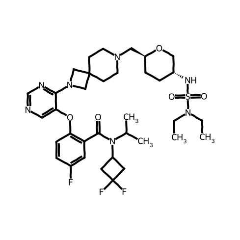 CCN(CC)S(=O)(=O)N[C@@H]1CC[C@@H](CN2CCC3(CC2)CN(c2ncncc2Oc2ccc(F)cc2C(=O)N(C(C)C)C2CC(F)(F)C2)C3)OC1